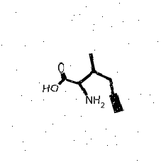 C#CCC(C)C(N)C(=O)O